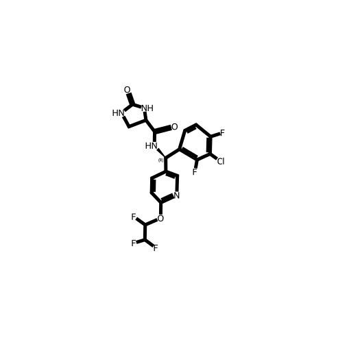 O=C1NCC(C(=O)N[C@H](c2ccc(OC(F)C(F)F)nc2)c2ccc(F)c(Cl)c2F)N1